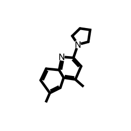 Cc1ccc2nc(N3CCCC3)cc(C)c2c1